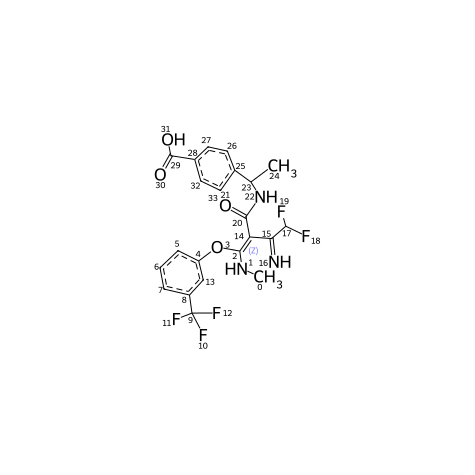 CN/C(Oc1cccc(C(F)(F)F)c1)=C(\C(=N)C(F)F)C(=O)NC(C)c1ccc(C(=O)O)cc1